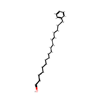 O=[C]CCCCCCCCCCCCCCCCCc1ccccc1